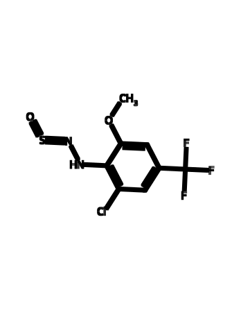 COc1cc(C(F)(F)F)cc(Cl)c1NN=S=O